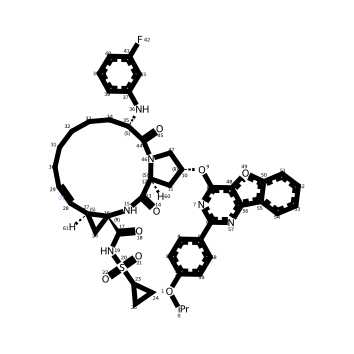 CC(C)Oc1ccc(-c2nc(O[C@@H]3C[C@H]4C(=O)N[C@]5(C(=O)NS(=O)(=O)C6CC6)C[C@H]5/C=C\CCCCC[C@H](Nc5cccc(F)c5)C(=O)N4C3)c3oc4ccccc4c3n2)cc1